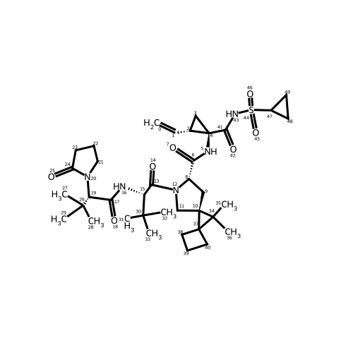 C=C[C@@H]1C[C@]1(NC(=O)[C@@H]1C[C@@]2(CN1C(=O)[C@@H](NC(=O)[C@@H](N1CCCC1=O)C(C)(C)C)C(C)(C)C)C(C)(C)C21CCC1)C(=O)NS(=O)(=O)C1CC1